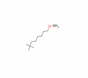 CC(C)(C)CCCCCCO[SiH3]